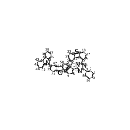 c1ccc(-c2nc(-c3ccccc3)nc(-c3cccc4sc5ccc(-c6ccc7oc8ccc(-n9c%10ccccc%10c%10ccccc%109)cc8c7c6)cc5c34)n2)cc1